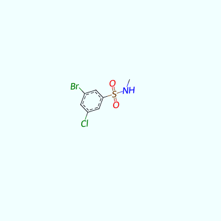 CNS(=O)(=O)c1cc(Cl)cc(Br)c1